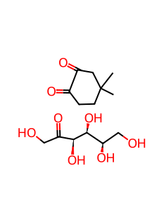 CC1(C)CCC(=O)C(=O)C1.O=C(CO)[C@H](O)[C@@H](O)[C@H](O)CO